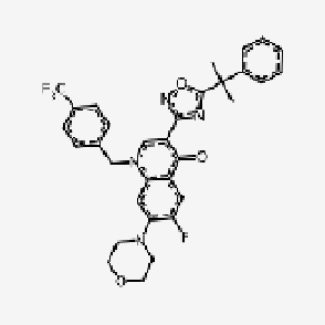 CC(C)(c1ccccc1)c1nc(-c2cn(Cc3ccc(C(F)(F)F)cc3)c3cc(N4CCOCC4)c(F)cc3c2=O)no1